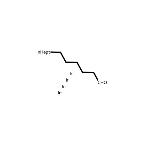 CCCCCCCCCCCCC=O.[Ir].[Ir].[Ir].[Ir]